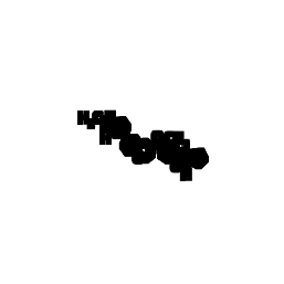 Cc1nc2ccc(-c3ccc4c(c3)CN(C(=O)c3ccc(S(=O)(=O)NC5CCCC5)cc3C)CCO4)cc2[nH]1